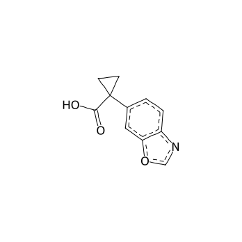 O=C(O)C1(c2ccc3ncoc3c2)CC1